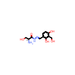 N[C@@H](CO)C(=O)NN=Cc1ccc(O)c(CO)c1O